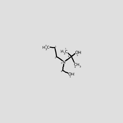 CCCN(CO)C(C)(C)O